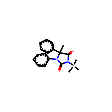 CC1(c2ccccc2)C(=O)N([Si](C)(C)C)C(=O)N1c1ccccc1